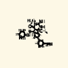 CN1C(=N)NC(C)(c2cc(-c3cccc(C#N)c3)cs2)C(CCNc2cccnc2)C1=O